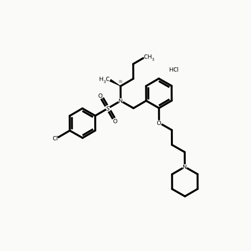 CCC[C@H](C)N(Cc1ccccc1OCCCN1CCCCC1)S(=O)(=O)c1ccc(Cl)cc1.Cl